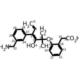 C=C/C(=C(/O)C(C)(C)Oc1ccccc1CC(=O)O)c1cccc(CN)c1